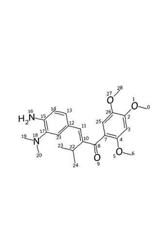 COc1cc(OC)c(C(=O)C(=Cc2ccc(N)c(N(C)C)c2)C(C)C)cc1OC